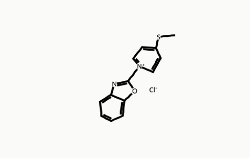 CSc1cc[n+](-c2nc3ccccc3o2)cc1.[Cl-]